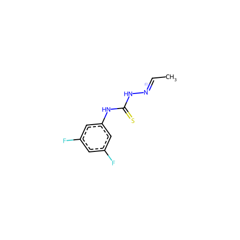 C/C=N/NC(=S)Nc1cc(F)cc(F)c1